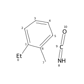 CCc1ccccc1C.N=C=O